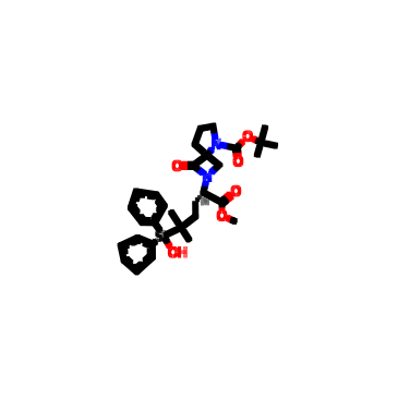 COC(=O)[C@H](CCC(C)(C)[Si](O)(c1ccccc1)c1ccccc1)N1CC2(CCCN2C(=O)OC(C)(C)C)C1=O